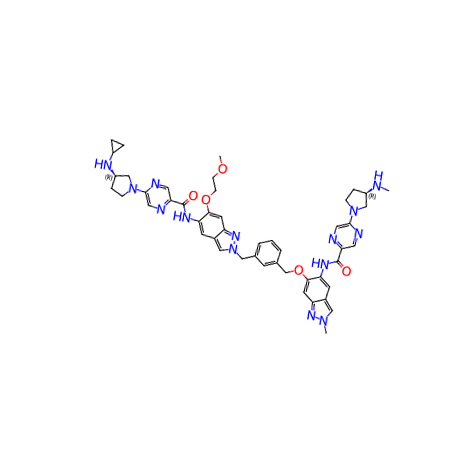 CN[C@@H]1CCN(c2cnc(C(=O)Nc3cc4cn(C)nc4cc3OCc3cccc(Cn4cc5cc(NC(=O)c6cnc(N7CC[C@@H](NC8CC8)C7)cn6)c(OCCOC)cc5n4)c3)cn2)C1